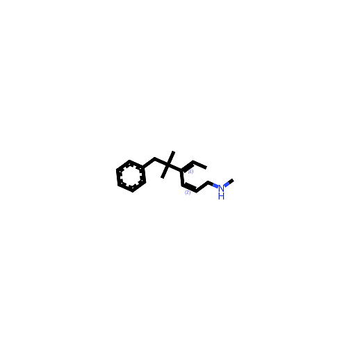 C/C=C(\C=C/CNC)C(C)(C)Cc1ccccc1